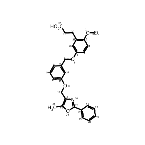 CCOc1ccc(OCc2cccc(OCc3nc(-c4ccccc4)oc3C)c2)cc1CCC(=O)O